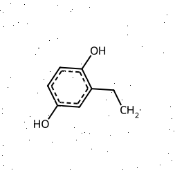 [CH2]Cc1cc(O)ccc1O